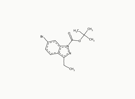 CCc1nn(C(=O)OC(C)(C)C)c2cc(Br)ccc12